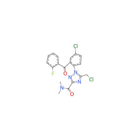 CN(C)C(=O)c1nc(CCl)n(-c2ccc(Cl)cc2C(=O)c2ccccc2F)n1